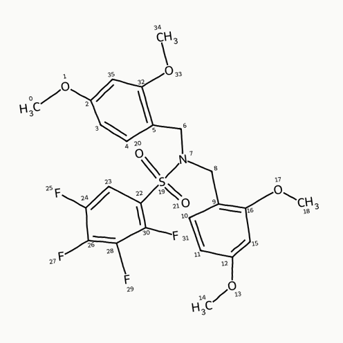 COc1ccc(CN(Cc2ccc(OC)cc2OC)S(=O)(=O)c2cc(F)c(F)c(F)c2F)c(OC)c1